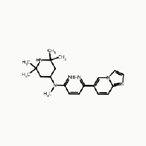 CN(C(=N)/C=C\C(=N)c1ccc2nccn2c1)C1CC(C)(C)NC(C)(C)C1